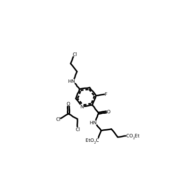 CCOC(=O)CCC(NC(=O)c1ncc(NCCCl)cc1F)C(=O)OCC.O=C(Cl)CCl